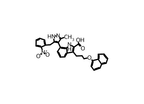 Cc1n[nH]c(Cc2ccccc2[N+](=O)[O-])c1-c1cccc2c(CCCOc3cccc4ccccc34)c(C(=O)O)[nH]c12